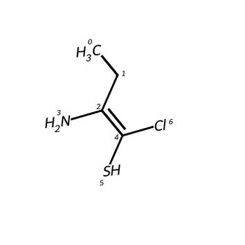 CC/C(N)=C(/S)Cl